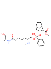 CNC(CCCCC(=O)NC(C)C=O)COC(O)(OC1CC2CCC(C2)C1C(=O)OC)c1ccccc1